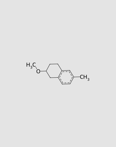 COC1CCc2cc(C)ccc2C1